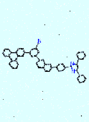 N#Cc1cc(-c2ccc3ccc(-c4ccc(-c5nc(-c6ccccc6)cc(-c6ccccc6)n5)cc4)cc3c2)cc(-c2ccc3c4ccccc4c4ccccc4c3c2)c1